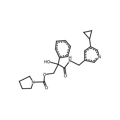 O=C(OCC(O)(C(=O)NCc1cncc(C2CC2)c1)c1ccccc1)N1CCCC1